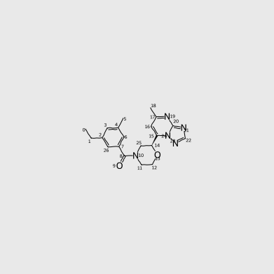 CCc1cc(C)cc(C(=O)N2CCO[C@H](c3cc(C)nc4ncnn34)C2)c1